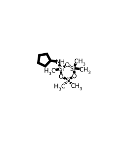 C[Si]1(C)O[Si](C)(C)O[Si](C)(NC2CCCC2)O1